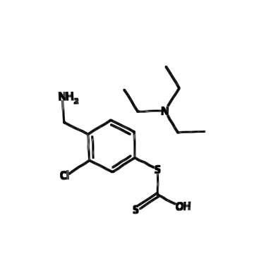 CCN(CC)CC.NCc1ccc(SC(O)=S)cc1Cl